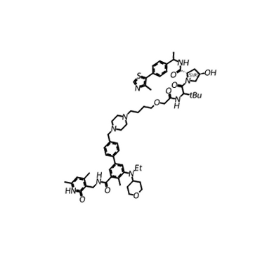 CCN(c1cc(-c2ccc(CN3CCN(CCCCOCC(=O)NC(C(=O)N4C[C@H](O)C[C@H]4C(=O)NC(C)c4ccc(-c5scnc5C)cc4)C(C)(C)C)CC3)cc2)cc(C(=O)NCc2c(C)cc(C)[nH]c2=O)c1C)C1CCOCC1